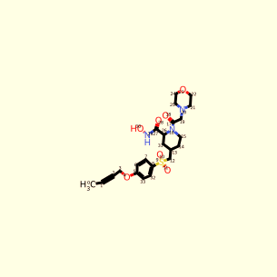 CC#CCOc1ccc(S(=O)(=O)CC2CCN(C(=O)CN3CCOCC3)C(C(=O)NO)C2)cc1